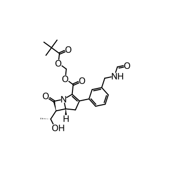 C[C@@H](O)[C@H]1C(=O)N2C(C(=O)OCOC(=O)C(C)(C)C)=C(c3cccc(CNC=O)c3)C[C@H]12